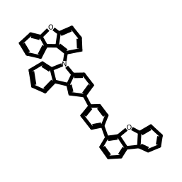 c1ccc2c(c1)oc1c(-c3ccc(-c4ccc5c(c4)c4ccccc4n5-c4cccc5oc6ccccc6c45)cc3)cccc12